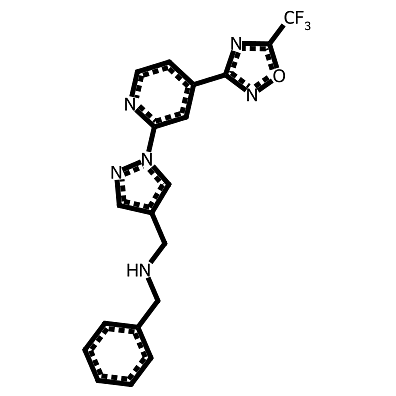 FC(F)(F)c1nc(-c2ccnc(-n3cc(CNCc4ccccc4)cn3)c2)no1